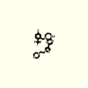 Fc1ccc(C(F)(F)F)c(CN2CCCNc3ncc(-c4cnn(CCN5CCOCC5)c4)nc32)c1